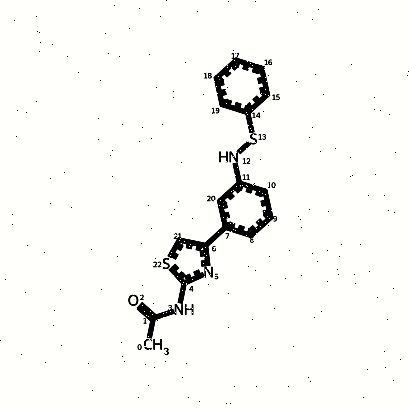 CC(=O)Nc1nc(-c2cccc(NSc3ccccc3)c2)cs1